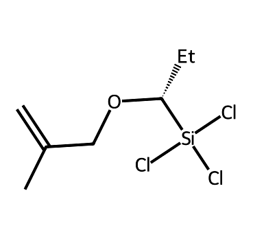 C=C(C)CO[C@H](CC)[Si](Cl)(Cl)Cl